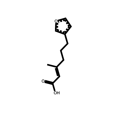 C/C(=C\C(=O)O)CCCc1ccoc1